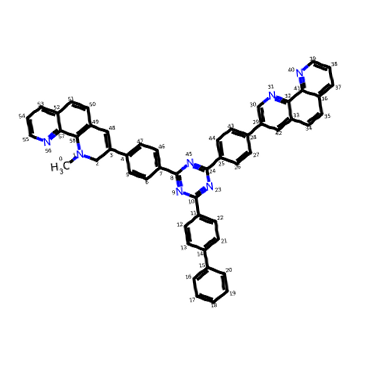 CN1CC(c2ccc(-c3nc(-c4ccc(-c5ccccc5)cc4)nc(-c4ccc(-c5cnc6c(ccc7cccnc76)c5)cc4)n3)cc2)=Cc2ccc3cccnc3c21